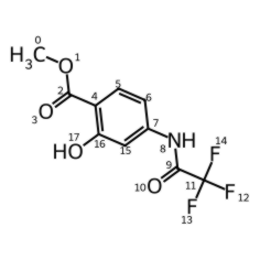 COC(=O)c1ccc(NC(=O)C(F)(F)F)cc1O